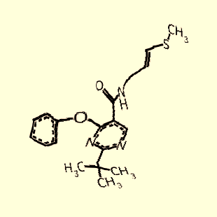 CS/C=C/CNC(=O)c1cnc(C(C)(C)C)nc1Oc1ccccc1